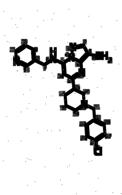 Bc1cnn2c(NCc3cccnc3)cc(C3CCCN(Cc4ccc(Cl)cc4)C3)nc12